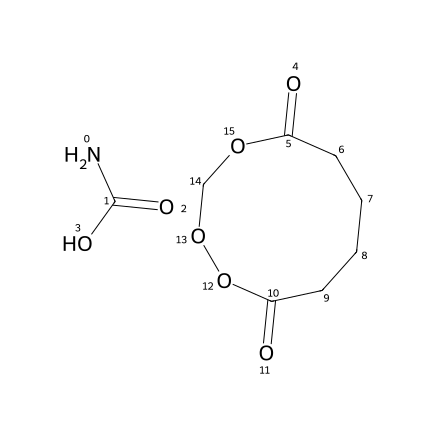 NC(=O)O.O=C1CCCCC(=O)OOCO1